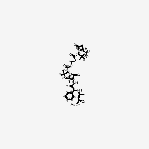 COC(=O)C=C(C)NC(C(=O)N[C@@H]1C(=O)N2[C@@H]1SC(C)(C)[C@@H]2C(=O)OCOC(=O)[C@@H]1N2C(=O)C[C@H]2S(=O)(=O)C1(C)C)c1ccccc1